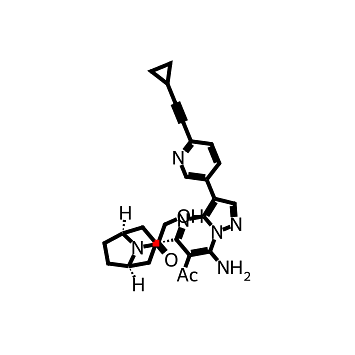 CC(=O)c1c([C@@H]2C[C@H]3CC[C@@H](C2)N3C(=O)CO)nc2c(-c3ccc(C#CC4CC4)nc3)cnn2c1N